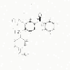 CC(=O)OC1CCC(Nc2ccc(C(=O)c3ccccc3)cc2[N+](=O)[O-])CC1